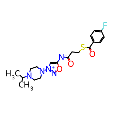 CC(C)N1CCN([n+]2cc([N-]C(=O)CCSC(=O)c3ccc(F)cc3)on2)CC1